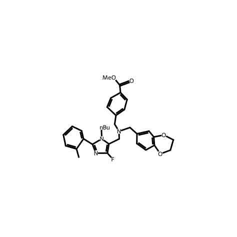 CCCCn1c(-c2ccccc2C)nc(F)c1CN(Cc1ccc(C(=O)OC)cc1)Cc1ccc2c(c1)OCCO2